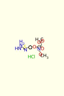 COCCN1C(=O)[C@H](CC(=O)OC)C[C@H]1COc1ccc(-c2ncc(C(=N)N)s2)cc1.Cl